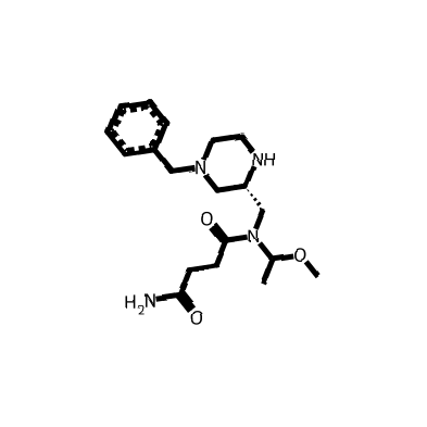 COC(C)N(C[C@@H]1CN(Cc2ccccc2)CCN1)C(=O)CCC(N)=O